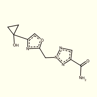 NC(=O)c1cnn(Cc2nc(C3(O)CC3)co2)n1